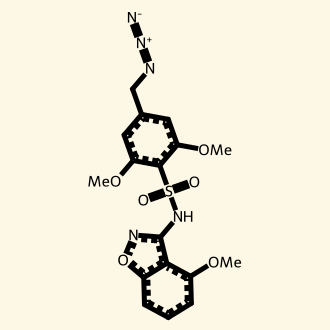 COc1cc(CN=[N+]=[N-])cc(OC)c1S(=O)(=O)Nc1noc2cccc(OC)c12